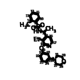 CCc1c(C(C)NS(=O)(=O)c2ccccc2C)ccnc1Oc1cccc(N2CCOCC2)c1